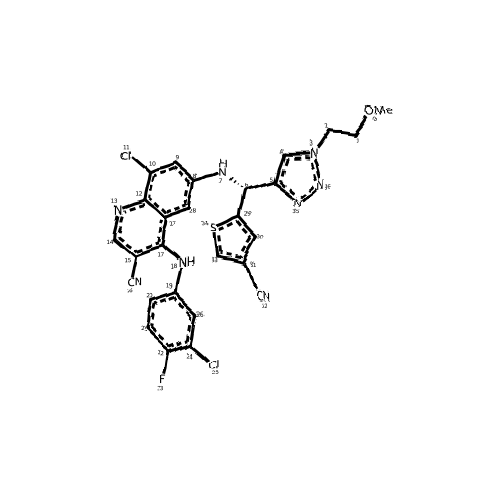 COCCn1cc([C@@H](Nc2cc(Cl)c3ncc(C#N)c(Nc4ccc(F)c(Cl)c4)c3c2)c2cc(C#N)cs2)nn1